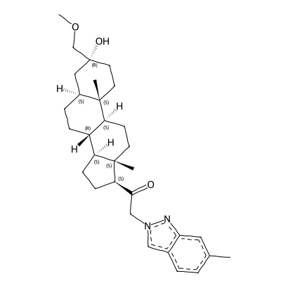 COC[C@@]1(O)CC[C@@]2(C)[C@@H](CC[C@@H]3[C@@H]2CC[C@]2(C)[C@@H](C(=O)Cn4cc5ccc(C)cc5n4)CC[C@@H]32)C1